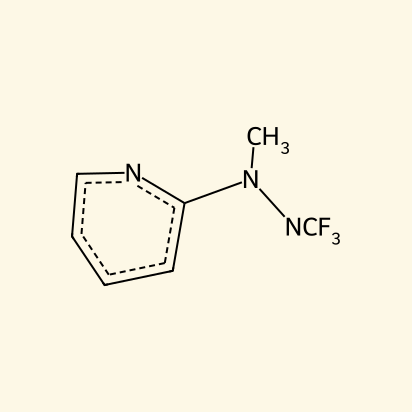 CN(NC(F)(F)F)c1ccccn1